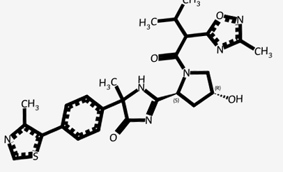 Cc1noc(C(C(=O)N2C[C@H](O)C[C@H]2C2=NC(=O)C(C)(c3ccc(-c4scnc4C)cc3)N2)C(C)C)n1